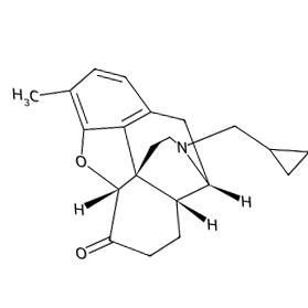 Cc1ccc2c3c1O[C@H]1C(=O)CC[C@H]4[C@@H](C2)N(CC2CC2)CC[C@]314